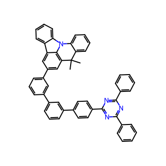 CC1(C)c2ccccc2-n2c3ccccc3c3cc(-c4cccc(-c5cccc(-c6ccc(-c7nc(-c8ccccc8)nc(-c8ccccc8)n7)cc6)c5)c4)cc1c32